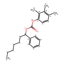 CCCCCCC(OC(=O)Oc1ccc(C)c(C)c1C)c1ccccc1